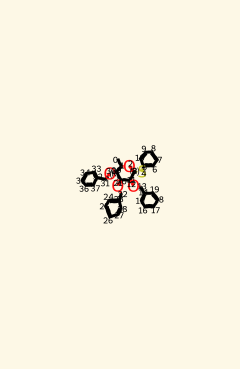 CC1O[C@H](Sc2ccccc2)C(OCc2ccccc2)C(OCc2ccccc2)[C@@H]1OCc1ccccc1